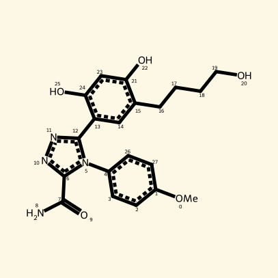 COc1ccc(-n2c(C(N)=O)nnc2-c2cc(CCCCO)c(O)cc2O)cc1